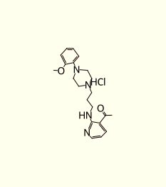 COc1ccccc1N1CCN(CCCNc2ncccc2C(C)=O)CC1.Cl